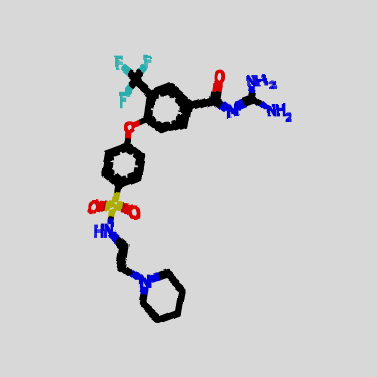 NC(N)=NC(=O)c1ccc(Oc2ccc(S(=O)(=O)NCCN3CCCCC3)cc2)c(C(F)(F)F)c1